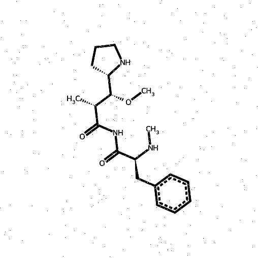 CN[C@@H](Cc1ccccc1)C(=O)NC(=O)[C@H](C)[C@@H](OC)[C@@H]1CCCN1